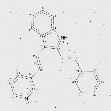 C(=C\c1[nH]c2ccccc2c1/C=C/c1cccnc1)/c1ccccc1